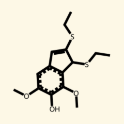 CCSC1=Cc2cc(OC)c(O)c(OC)c2C1SCC